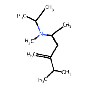 C=C(CC(C)N(C)C(C)C)C(C)C